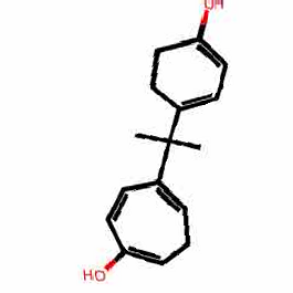 CC(C)(C1=CCC=C(O)C=C1)C1=CC=C(O)CC1